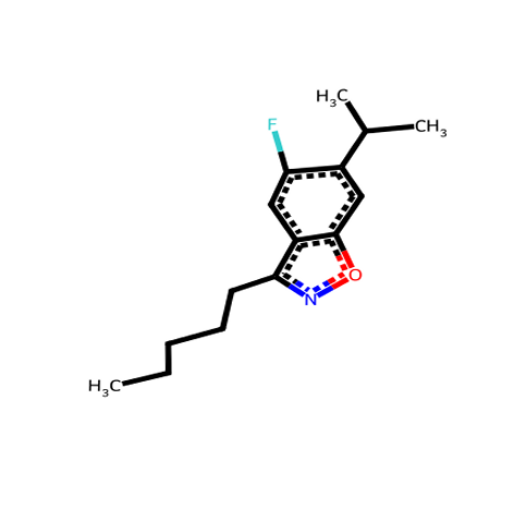 CCCCCc1noc2cc(C(C)C)c(F)cc12